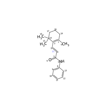 CC1=C(/C=C/C(=O)Nc2ccccc2)C(C)(C)CCC1